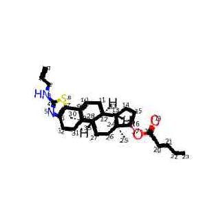 C=CCNc1nc2c(s1)C1=CC[C@H]3[C@@H]4CC[C@H](OC(=O)CCCC)[C@@]4(C)CC[C@@H]3[C@@]1(C)CC2